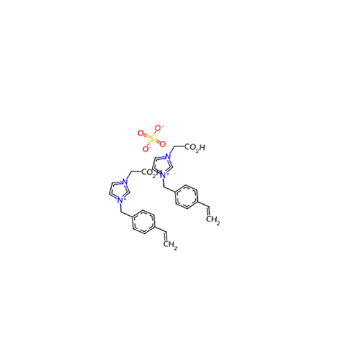 C=Cc1ccc(C[n+]2ccn(CC(=O)O)c2)cc1.C=Cc1ccc(C[n+]2ccn(CC(=O)O)c2)cc1.O=S(=O)([O-])[O-]